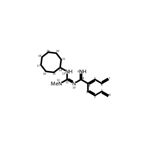 C=C/C=C\C(=C/C=C)C(=N)/N=C(/NC)NC1CCCCCCC1